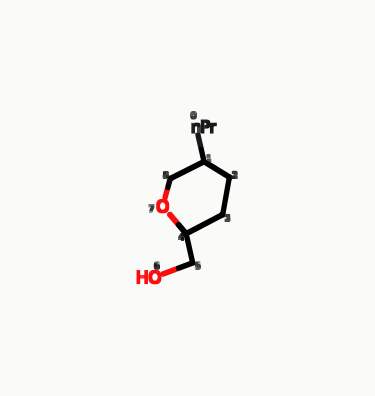 CCCC1CCC(CO)OC1